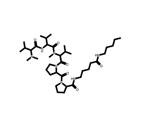 CCCCCNC(=O)CCCCNC(=O)C1CCCN1C(=O)C1CCCN1C(=O)C(C(C)C)N(C)C(=O)C(NC(=O)C(C(C)C)N(C)C)C(C)C